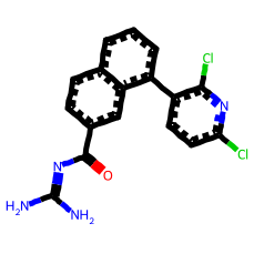 NC(N)=NC(=O)c1ccc2cccc(-c3ccc(Cl)nc3Cl)c2c1